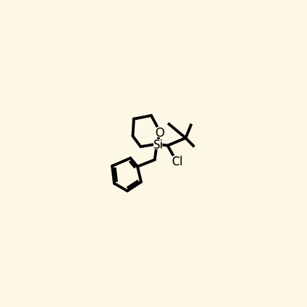 CC(C)(C)C(Cl)[Si]1(Cc2ccccc2)CCCCO1